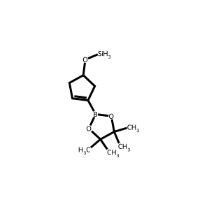 CC1(C)OB(C2=CCC(O[SiH3])C2)OC1(C)C